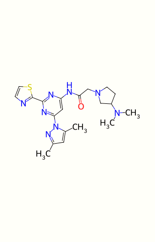 Cc1cc(C)n(-c2cc(NC(=O)CN3CCC(N(C)C)C3)nc(-c3nccs3)n2)n1